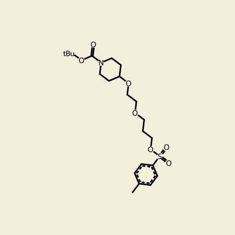 Cc1ccc(S(=O)(=O)OCCCOCCOC2CCN(C(=O)OC(C)(C)C)CC2)cc1